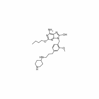 CCCCOc1nc(N)c2nc(O)n(Cc3ccc(CCCNC4CCNCC4)cc3OC)c2n1